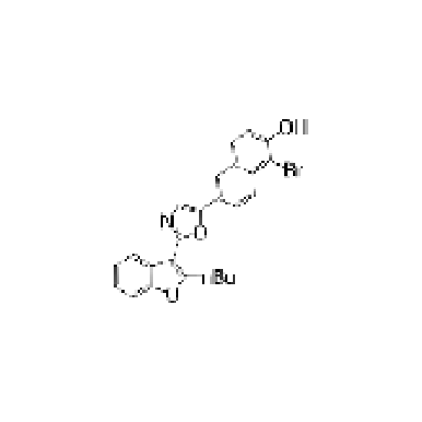 CCCCc1oc2ccccc2c1-c1ncc(-c2ccc3c(Br)c(O)ccc3c2)o1